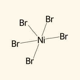 [Br][Ni]([Br])([Br])([Br])[Br]